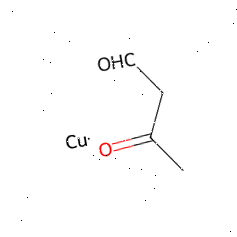 CC(=O)CC=O.[Cu]